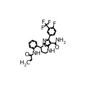 C=CC(=O)Nc1ccccc1C1CCNc2c(C(N)=O)c(-c3ccc(F)c(C(F)(F)F)c3)nn21